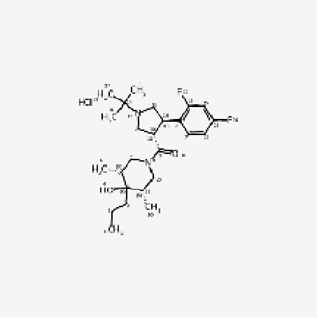 CCC[C@]1(O)[C@H](C)CN(C(=O)[C@@H]2CN(C(C)(C)C)C[C@H]2c2ccc(F)cc2F)C[C@@H]1C.Cl